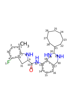 Cc1ccc(F)c2c1NC(C(=O)Nc1cccc3c1NC(C1CCCCCCC1)NC3)C2